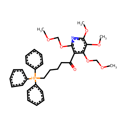 COCOc1nc(OC)c(OC)c(OCOC)c1C(=O)CCCC[PH](c1ccccc1)(c1ccccc1)c1ccccc1